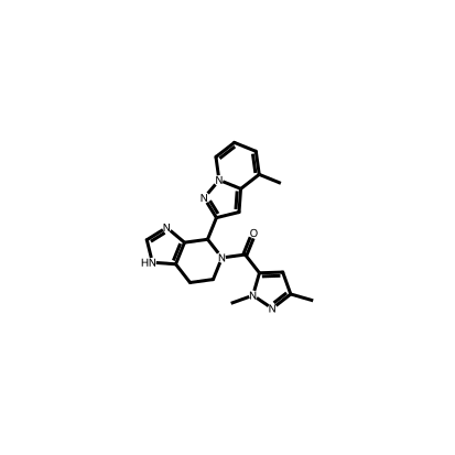 Cc1cc(C(=O)N2CCc3[nH]cnc3C2c2cc3c(C)cccn3n2)n(C)n1